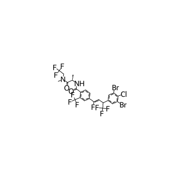 C[C@@H](NC(=O)c1ccc(/C(F)=C/C(c2cc(Br)c(Cl)c(Br)c2)C(F)(F)F)cc1C(F)(F)F)C(=O)N(C)CC(F)(F)F